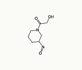 O=NC1CCCN(C(=O)CO)C1